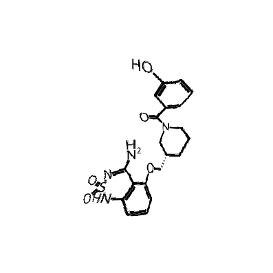 NC1=NS(=O)(=O)Nc2cccc(OC[C@H]3CCCN(C(=O)c4cccc(O)c4)C3)c21